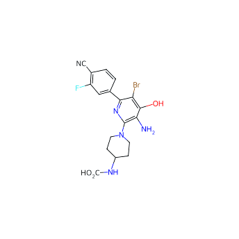 N#Cc1ccc(-c2nc(N3CCC(NC(=O)O)CC3)c(N)c(O)c2Br)cc1F